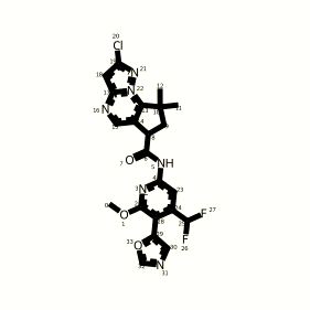 COc1nc(NC(=O)C2CC(C)(C)c3c2cnc2cc(Cl)nn32)cc(C(F)F)c1-c1cnco1